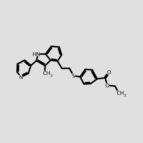 CCOC(=O)c1ccc(SCCc2cccc3[nH]c(-c4cccnc4)c(C)c23)cc1